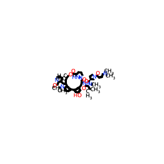 CCn1c(-c2cccnc2COC)c2c3cc(ccc31)-c1cc(O)cc(c1)C[C@H](NC(=O)C(C(C)C)N(C)C(=O)[C@H]1CCN(C(=O)/C=C\CN(C)C)C1)C(=O)N1CCC[C@H](N1)C(=O)OCC(C)(C)C2